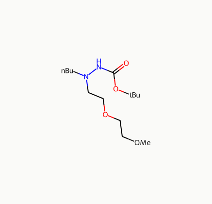 CCCCN(CCOCCOC)NC(=O)OC(C)(C)C